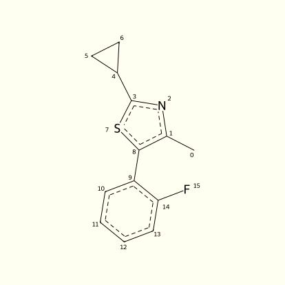 Cc1nc(C2CC2)sc1-c1ccccc1F